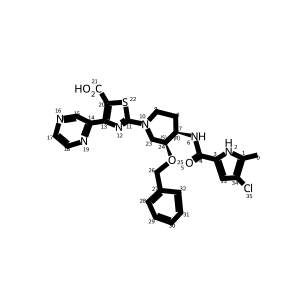 Cc1[nH]c(C(=O)N[C@@H]2CCN(c3nc(-c4cnccn4)c(C(=O)O)s3)C[C@@H]2OCc2ccccc2)cc1Cl